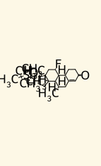 C[C@@H]1CC2=CC(=O)CC[C@@H]2[C@@H]2[C@@H]1[C@@H]1CC[C@H](O[Si](C)(C)C(C)(C)C)[C@@]1(C)C[C@@H]2F